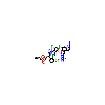 C#CCCS(=O)(=O)CCC(c1cnc(-c2cc(Oc3c(F)cc4[nH]ccc4c3CN=[N+]=[N-])ccc2F)[nH]1)c1cccc(Br)c1F